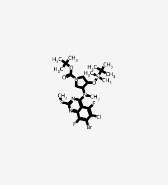 CSc1nc(N(C)C2CN(C(=O)OC(C)(C)C)CC2O[Si](C)(C)C(C)(C)C)c2c(F)c(Cl)c(Br)c(F)c2n1